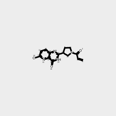 C=CC(=O)N1CCC(c2nc3ccc(Cl)nc3c(=O)[nH]2)C1